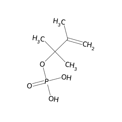 C=C(C)C(C)(C)OP(=O)(O)O